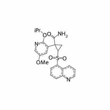 COc1cnc(OC(C)C)c(C2(C(N)=O)CC2S(=O)(=O)c2cccc3ncccc23)c1